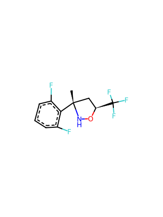 C[C@@]1(c2c(F)cccc2F)C[C@@H](C(F)(F)F)ON1